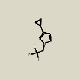 FC(F)(F)Cn1ccc(C2CC2)n1